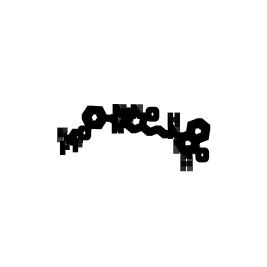 NC(=O)C(CCCNc1n[nH]c(=O)c2ccccc12)Cc1nc(-c2cccc(OCC(F)(F)F)c2)no1